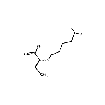 CCC(SCCCCC(F)F)C(=O)O